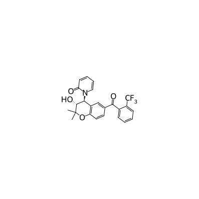 CC1(C)Oc2ccc(C(=O)c3ccccc3C(F)(F)F)cc2[C@H](n2ccccc2=O)[C@H]1O